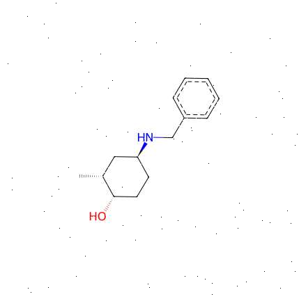 C[C@@H]1C[C@@H](NCc2ccccc2)CC[C@@H]1O